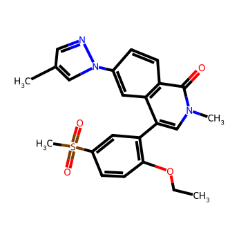 CCOc1ccc(S(C)(=O)=O)cc1-c1cn(C)c(=O)c2ccc(-n3cc(C)cn3)cc12